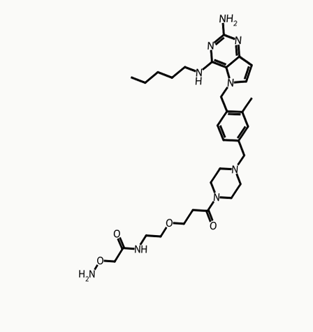 CCCCCNc1nc(N)nc2ccn(Cc3ccc(CN4CCN(C(=O)CCOCCNC(=O)CON)CC4)cc3C)c12